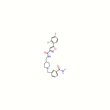 CN(C)C(=O)c1cccc(CN2CCC(CNC(=O)c3cc(-c4ccc(F)cc4F)on3)CC2)c1